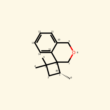 C[C@@H]1CC(C)(C)C12COCc1ccccc12